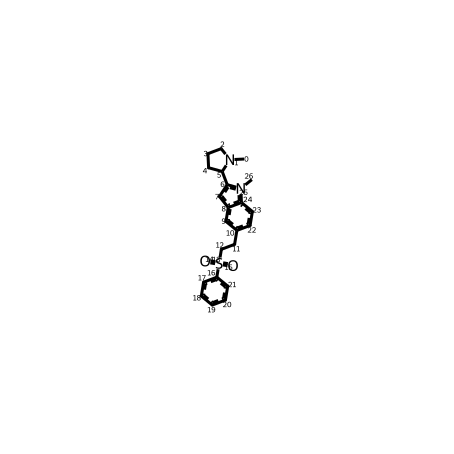 CN1CCCC1c1cc2cc(CCS(=O)(=O)c3ccccc3)ccc2n1C